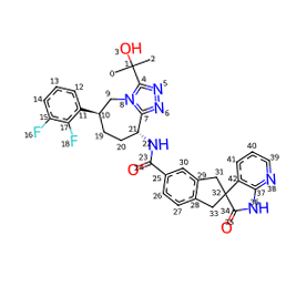 CC(C)(O)c1nnc2n1C[C@H](c1cccc(F)c1F)CC[C@H]2NC(=O)c1ccc2c(c1)CC1(C2)C(=O)Nc2ncccc21